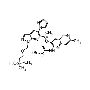 Cc1cc2nc(NC(=O)OC(C)(C)C)c(O[C@@H](C)c3nc4c(cnn4COCC[Si](C)(C)C)cc3-n3cccn3)cc2cn1